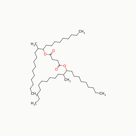 CCCCCCCCCCC(C)C(CCCCCCCCC)OC(=O)CCC(=O)OC(CCCCCCCCC)C(C)CCCCCCCCCC